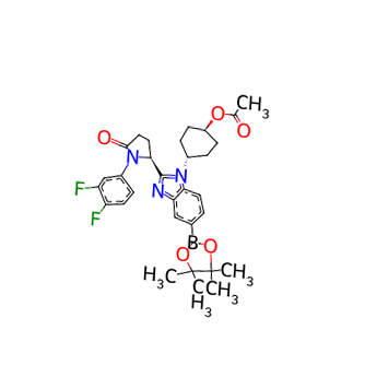 CC(=O)O[C@H]1CC[C@H](n2c([C@@H]3CCC(=O)N3c3ccc(F)c(F)c3)nc3cc(B4OC(C)(C)C(C)(C)O4)ccc32)CC1